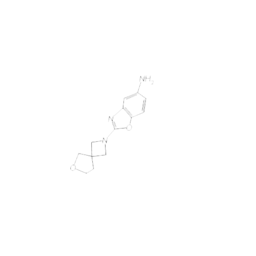 Nc1ccc2oc(N3CC4(CCOC4)C3)nc2c1